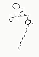 CCCOCCOCCOCCOc1ccc(Nc2nc(NC3CCCCCC3)nc(NC(CC)C3CCCN3)n2)cc1F